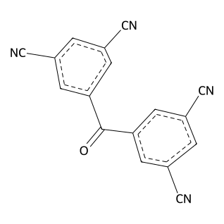 N#Cc1cc(C#N)cc(C(=O)c2cc(C#N)cc(C#N)c2)c1